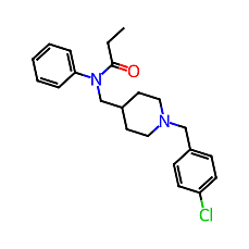 CCC(=O)N(CC1CCN(Cc2ccc(Cl)cc2)CC1)c1ccccc1